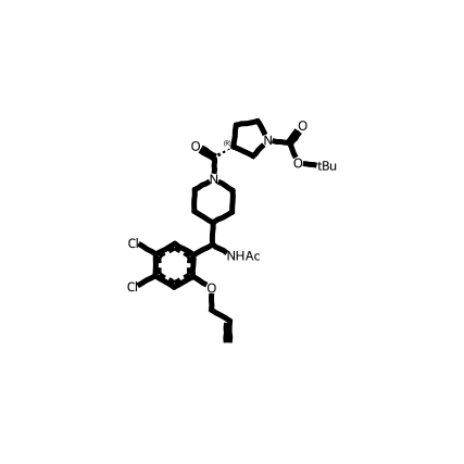 C=CCOc1cc(Cl)c(Cl)cc1C(NC(C)=O)C1CCN(C(=O)[C@@H]2CCN(C(=O)OC(C)(C)C)C2)CC1